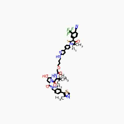 Cc1ncsc1-c1ccc(CNC(=O)[C@@H]2C[C@@H](O)CN2C(=O)[C@@H](NC(=O)COCCCCNc2ccc(-c3ccc(N4C(=S)C(c5ccc(C#N)c(C(F)(F)F)c5)C(=O)C4(C)C)cc3)cn2)C(C)(C)C)cc1